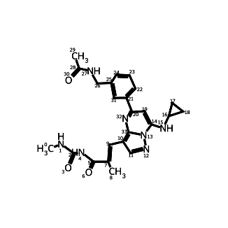 CNC(=O)NC(=O)/C(C)=C/c1cnn2c(NC3CC3)cc(-c3cccc(CNC(C)=O)c3)nc12